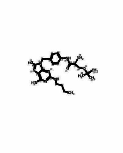 CCCCNc1nc(N)c2nc(O)n(Cc3ccc(NC(=O)[C@@H](N)COC(C)(C)C)cc3)c2n1